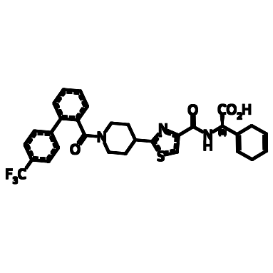 O=C(N[C@@H](C(=O)O)C1=CCC=CC1)c1csc(C2CCN(C(=O)c3ccccc3-c3ccc(C(F)(F)F)cc3)CC2)n1